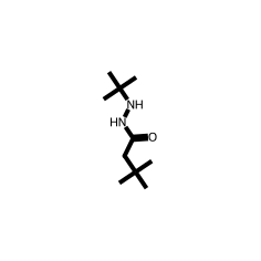 CC(C)(C)CC(=O)NNC(C)(C)C